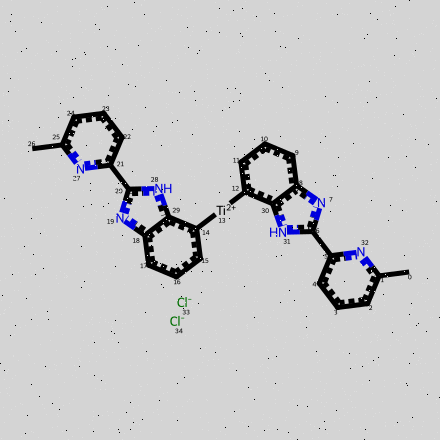 Cc1cccc(-c2nc3ccc[c]([Ti+2][c]4cccc5nc(-c6cccc(C)n6)[nH]c45)c3[nH]2)n1.[Cl-].[Cl-]